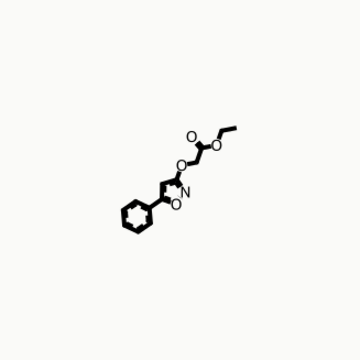 CCOC(=O)COc1cc(-c2ccccc2)on1